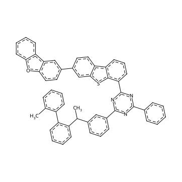 Cc1ccccc1-c1ccccc1C(C)c1cccc(-c2nc(-c3ccccc3)nc(-c3cccc4c3sc3cc(-c5ccc6oc7ccccc7c6c5)ccc34)n2)c1